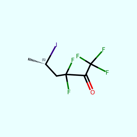 C[C@H](I)CC(F)(F)C(=O)C(F)(F)F